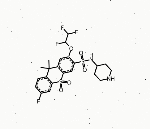 CC1(C)c2ccc(F)cc2S(=O)(=O)c2cc(S(=O)(=O)NC3CCNCC3)c(OC(F)C(F)F)cc21